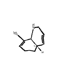 SC1=CCC[C@H]2C=CCNC12